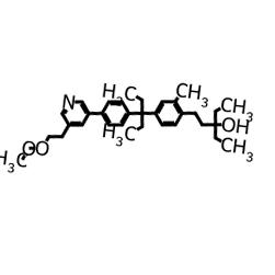 CCC(O)(CC)CCc1ccc(C(CC)(CC)c2ccc(-c3cncc(CCOOC)c3)cc2)cc1C